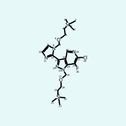 C[Si](C)(C)CCOCn1ccnc1-c1nn(COCC[Si](C)(C)C)c2c(F)c(Cl)ncc12